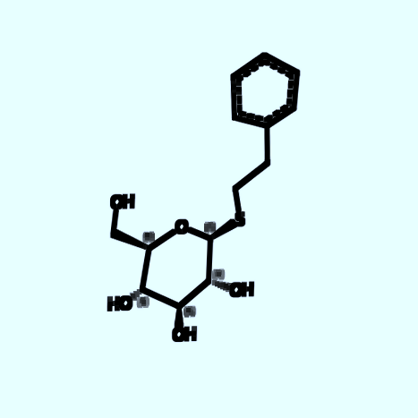 OC[C@H]1O[C@@H](SCCc2ccccc2)[C@H](O)[C@@H](O)[C@@H]1O